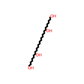 OCCCCCCCC(O)CCCCCCCCCCCCCC(O)CCCCCCCO